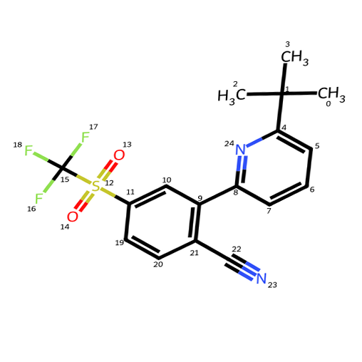 CC(C)(C)c1cccc(-c2cc(S(=O)(=O)C(F)(F)F)ccc2C#N)n1